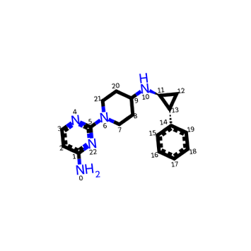 Nc1ccnc(N2CCC(N[C@H]3C[C@@H]3c3ccccc3)CC2)n1